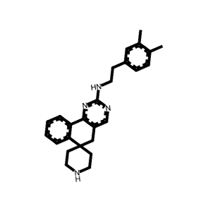 Cc1ccc(CCNc2ncc3c(n2)-c2ccccc2C2(CCNCC2)C3)cc1C